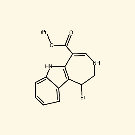 CCC1CNC=C(C(=O)OC(C)C)c2[nH]c3ccccc3c21